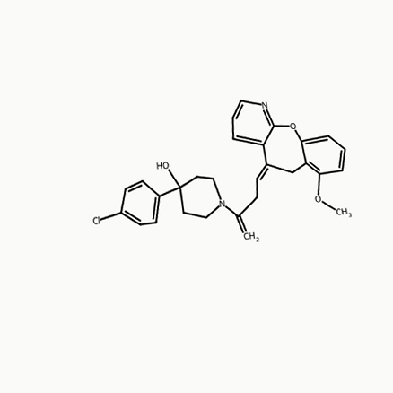 C=C(CC=C1Cc2c(OC)cccc2Oc2ncccc21)N1CCC(O)(c2ccc(Cl)cc2)CC1